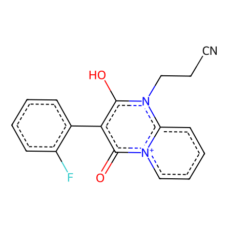 N#CCCn1c(O)c(-c2ccccc2F)c(=O)[n+]2ccccc12